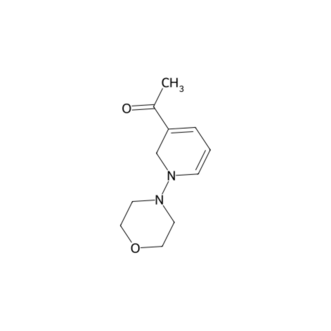 CC(=O)C1=CC=CN(N2CCOCC2)C1